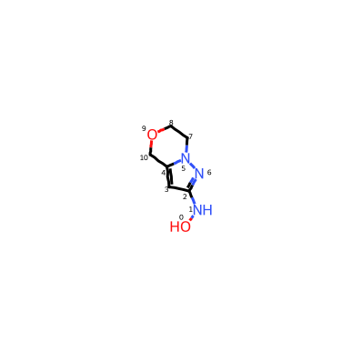 ONc1cc2n(n1)CCOC2